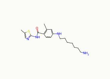 Cc1cnc(NC(=O)c2ccc(NCCCCCCCN)cc2C)s1